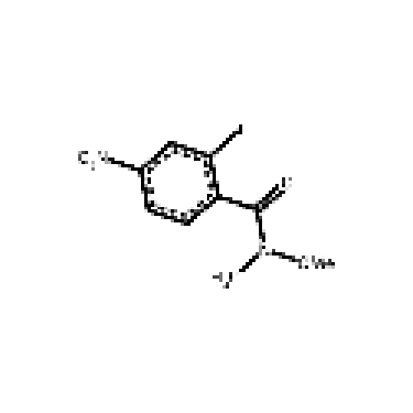 CON(C)C(=O)c1ccc([N+](=O)[O-])cc1I